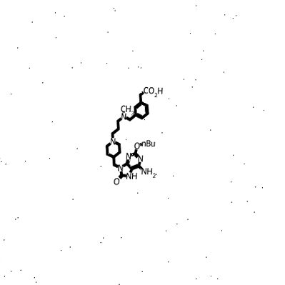 CCCCOc1nc(N)c2[nH]c(=O)n(CC3CCN(CCCN(C)Cc4cccc(CC(=O)O)c4)CC3)c2n1